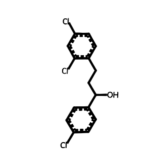 OC(CCc1ccc(Cl)cc1Cl)c1ccc(Cl)cc1